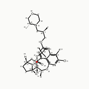 C[C@@H](COc1nc2c3c(nc(Cl)c(F)c3n1)O[C@@H](C)[C@@H]1[C@@H]3CC[C@H](CN21)N3C(=O)OC(C)(C)C)CN1CCOC[C@H]1C